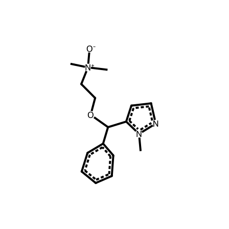 Cn1nccc1C(OCC[N+](C)(C)[O-])c1ccccc1